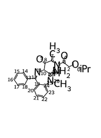 CC(C)OCC(=O)NC(C)C(=O)C1N=C(c2ccccc2)c2ccccc2N(C)[C@@H]1N